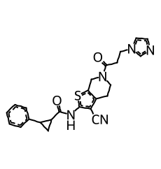 N#Cc1c(NC(=O)C2CC2c2ccccc2)sc2c1CCN(C(=O)CCn1ccnc1)C2